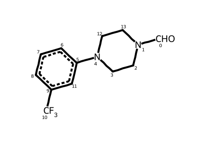 O=CN1CCN(c2cccc(C(F)(F)F)c2)CC1